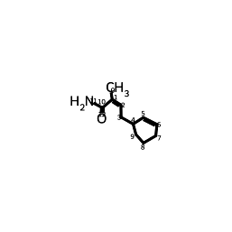 CC(=CCC1C=CCCC1)C(N)=O